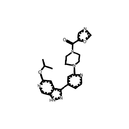 CC(C)Oc1cc2c(-c3ccnc(N4CCN(C(=O)c5cnco5)CC4)c3)n[nH]c2cn1